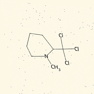 CN1CCCCC1C(Cl)(Cl)Cl